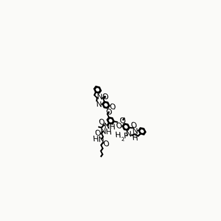 CCCCCC(=O)NCC(=O)NC(C)C(=O)Nc1cc(COc2cc3c(cc2OC)C(=O)N2c4ccccc4CC2C=N3)cc(COc2cc3c(cc2OC)C(=O)N2c4ccccc4C[C@H]2CN3P)c1